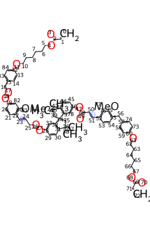 C=CC(=O)OCCCCCCOc1ccc(COOc2ccc(/C=C/COOc3ccc4c(c3)C3(CC4(C)C)CC(C)(C)c4ccc(OC(=O)/C=C/c5ccc(Cc6ccc(OCCCCCCOC(=O)C=C)cc6)cc5OC)cc43)c(OC)c2)cc1